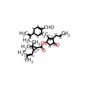 C=C(C)C1CC=C(C=O)CC1.C=CCC1=C(C)C(OC(=O)C2C(C=C(C)C)C2(C)C)CC1=O